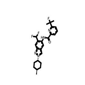 CC(C)(F)c1cccc(C(=O)Nc2cc3cn([C@H]4CC[C@H](C)CC4)nc3cc2C(F)F)n1